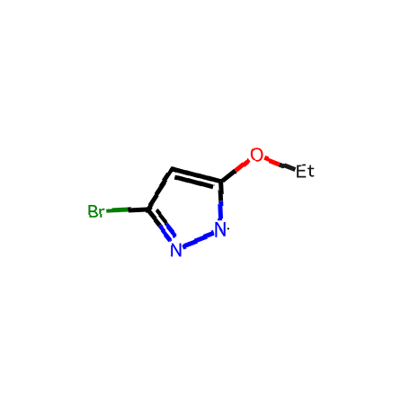 CCOC1=CC(Br)=N[N]1